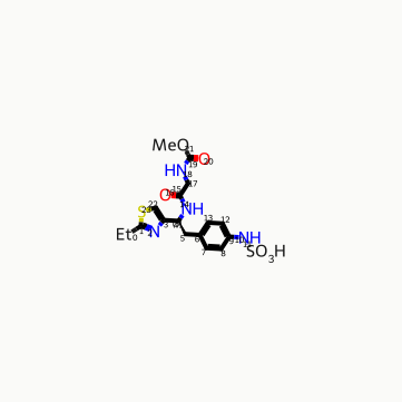 CCc1nc([C@H](Cc2ccc(NS(=O)(=O)O)cc2)NC(=O)CNC(=O)OC)cs1